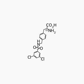 N[C@@H](Cc1ccc(CNS(=O)(=O)c2cc(Cl)cc(Cl)c2)cc1)C(=O)O